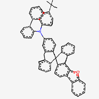 CC(C)(C)c1ccc(N(c2ccc3c(c2)-c2ccccc2C32c3ccccc3-c3c2ccc2c3oc3ccccc32)c2ccccc2-c2ccccc2)cc1